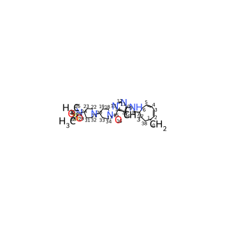 C=C1/C=C\C=C/CC(CNc2ncnc(C(=O)N3CCC(N4CCC(N(C)S(C)(=O)=O)CC4)CC3)c2C)CC1